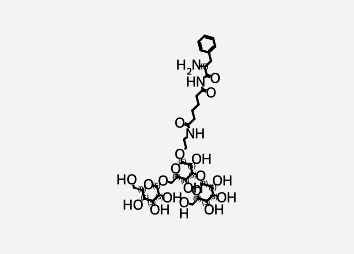 N[C@@H](Cc1ccccc1)C(=O)NC(=O)CCCCC(=O)NCCO[C@H]1O[C@H](CO[C@H]2O[C@H](CO)[C@@H](O)[C@H](O)[C@@H]2O)[C@@H](O)[C@H](O[C@H]2O[C@H](CO)[C@@H](O)[C@H](O)[C@@H]2O)[C@@H]1O